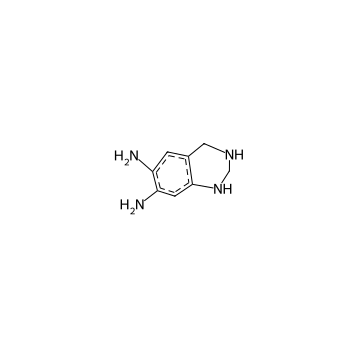 Nc1cc2c(cc1N)NCNC2